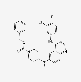 O=C(OCc1ccccc1)N1CCC(Nc2ccc3ncnc(Nc4ccc(F)c(Cl)c4)c3c2)CC1